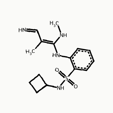 CN/C(Nc1ccccc1S(=O)(=O)NC1CCC1)=C(/C)C=N